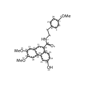 COc1ccc(CCNC(=O)c2cc3cc(OC)c(OC)cc3c3cc(O)ccc23)cc1